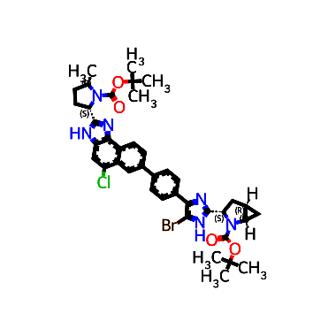 C[C@@H]1CC[C@@H](c2nc3c(cc(Cl)c4cc(-c5ccc(-c6nc([C@@H]7C[C@H]8C[C@H]8N7C(=O)OC(C)(C)C)[nH]c6Br)cc5)ccc43)[nH]2)N1C(=O)OC(C)(C)C